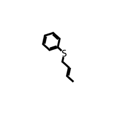 CC=CCSc1ccccc1